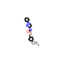 Cc1ccc(CSC(=O)N=c2ccn(-c3ccccc3)nc2)cc1